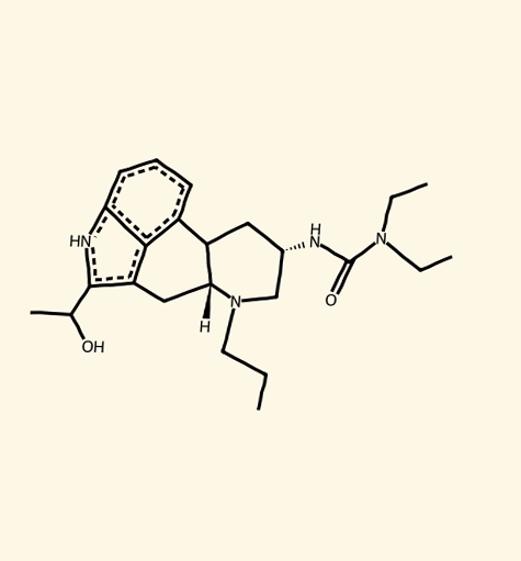 CCCN1C[C@@H](NC(=O)N(CC)CC)CC2c3cccc4[nH]c(C(C)O)c(c34)C[C@H]21